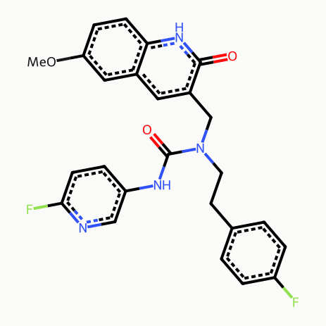 COc1ccc2[nH]c(=O)c(CN(CCc3ccc(F)cc3)C(=O)Nc3ccc(F)nc3)cc2c1